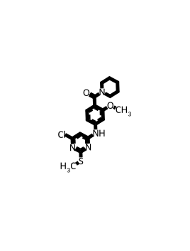 COc1cc(Nc2cc(Cl)nc(SC)n2)ccc1C(=O)N1CCCCC1